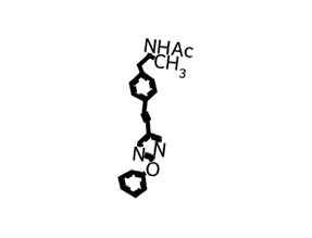 CC(=O)NC(C)Cc1ccc(C#Cc2cnc(Oc3ccccc3)nc2)cc1